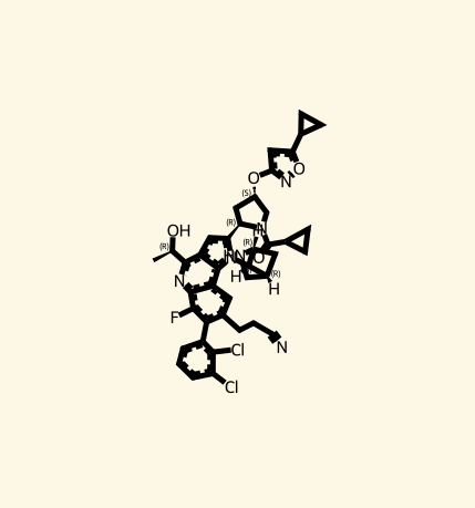 C[C@@H](O)c1nc2c(F)c(-c3cccc(Cl)c3Cl)c(CCC#N)cc2c2c1cc([C@H]1C[C@H](Oc3cc(C4CC4)on3)CN1C(=O)C1CC1)n2[C@H]1[C@H]2CN[C@@H]1C2